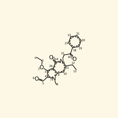 CCOc1c(C=O)n(C)c2cc(CC)n(CC(=O)c3ccccc3)c(=O)c12